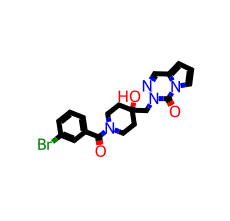 O=C(c1cccc(Br)c1)N1CCC(O)(Cn2ncc3cccn3c2=O)CC1